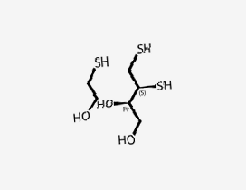 OCCS.OC[C@@H](O)[C@H](S)CS